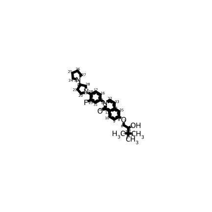 CC(C)(C)C(O)COc1ccc2c(=O)n(-c3ccc(N4CC[C@@H](N5CCCC5)C4)c(F)c3)ccc2c1